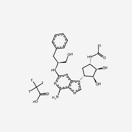 CCC(=O)N[C@H]1C[C@@H](n2cnc3c(N)nc(N[C@H](CO)Cc4ccccc4)nc32)[C@H](O)[C@@H]1O.O=C(O)C(F)(F)F